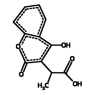 CC(C(=O)O)c1c(O)c2ccccc2oc1=O